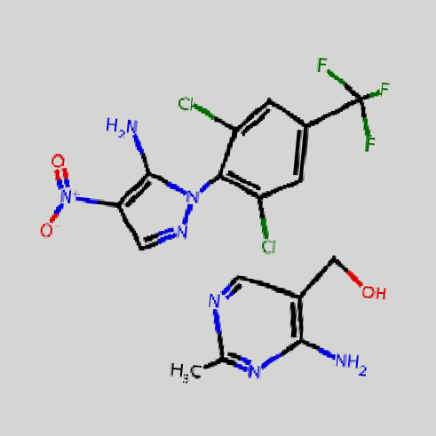 Cc1ncc(CO)c(N)n1.Nc1c([N+](=O)[O-])cnn1-c1c(Cl)cc(C(F)(F)F)cc1Cl